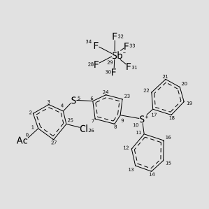 CC(=O)c1ccc(Sc2ccc([S+](c3ccccc3)c3ccccc3)cc2)c(Cl)c1.[F][Sb-]([F])([F])([F])([F])[F]